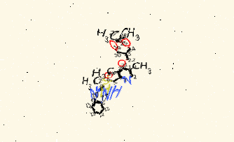 Cc1cnc(C[SH](C)(=O)c2nc3ccccc3[nH]2)c(C)c1OCC1COC(C)(C)OC1